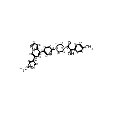 Cc1ccc([C@@H](O)C(=O)N2CCN(c3ccc(-c4cc(-c5cnn(C)c5)cn5nccc45)cn3)CC2)cc1